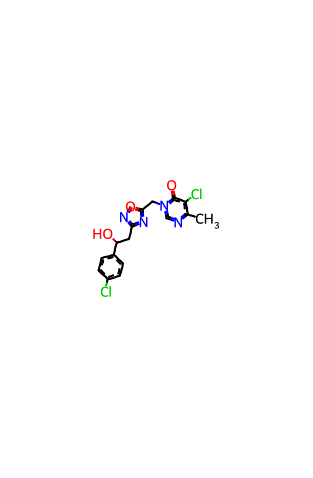 Cc1ncn(Cc2nc(C[C@H](O)c3ccc(Cl)cc3)no2)c(=O)c1Cl